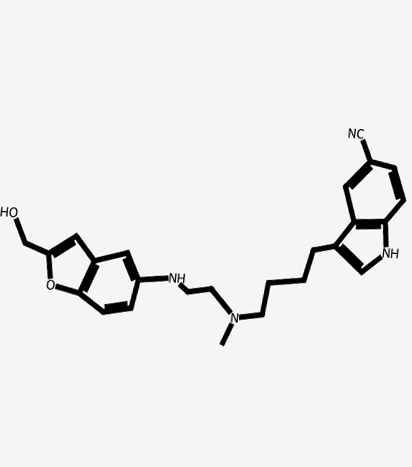 CN(CCCCc1c[nH]c2ccc(C#N)cc12)CCNc1ccc2oc(CO)cc2c1